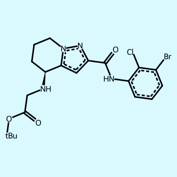 CC(C)(C)OC(=O)CN[C@H]1CCCn2nc(C(=O)Nc3cccc(Br)c3Cl)cc21